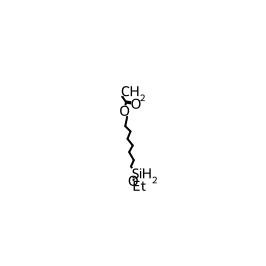 C=CC(=O)OCCCCCCCC[SiH2]OCC